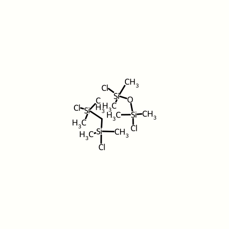 C[Si](C)(Cl)C[Si](C)(C)Cl.C[Si](C)(Cl)O[Si](C)(C)Cl